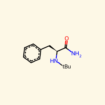 CC(C)(C)N[C@@H](Cc1ccccc1)C(N)=O